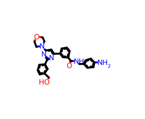 Nc1ccc(CNC(=O)c2cccc(-c3cc(N4CCOCC4)nc(-c4cccc(CO)c4)n3)c2)cc1